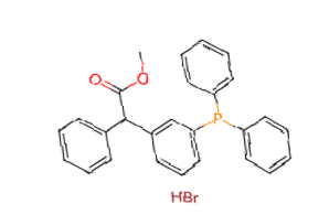 Br.COC(=O)C(c1ccccc1)c1cccc(P(c2ccccc2)c2ccccc2)c1